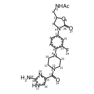 CC(=O)NCC1CN(c2ccc(N3CCN(C(=O)c4c[nH]c(N)n4)CC3)c(F)c2)C(=O)O1